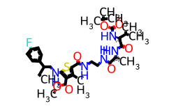 CCC(CNc1sc(C(=O)NCCNC(=O)[C@H](C)NC(=O)[C@@H](NC(=O)OC(C)(C)C)C(C)C)c(C)c1C(=O)OC)c1ccc(F)cc1